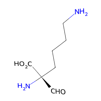 NCCCC[C@@](N)(C=O)C(=O)O